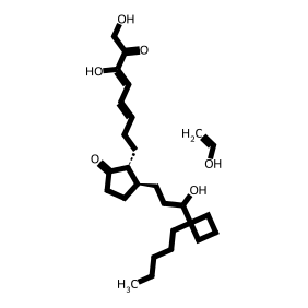 C=CO.CCCCCC1(C(O)CC[C@H]2CCC(=O)[C@@H]2CCC=CC=C(O)C(=O)CO)CCC1